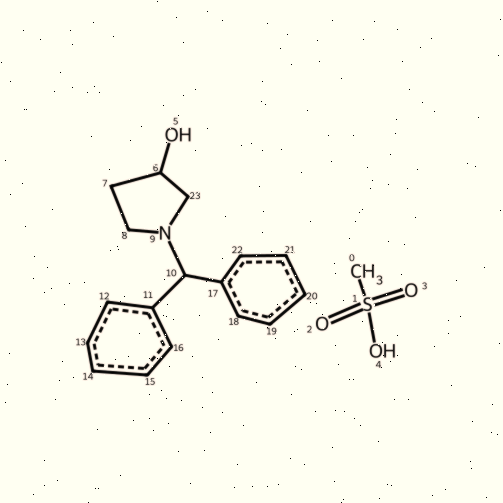 CS(=O)(=O)O.OC1CCN(C(c2ccccc2)c2ccccc2)C1